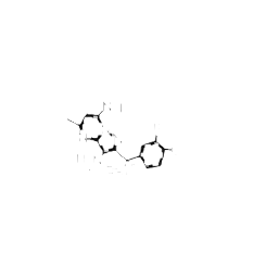 Cc1cc(N)n2nc([C@@H](c3ccc(C(F)(F)F)c(F)c3)C(C)(C)C)c(N)c2n1